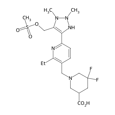 CCc1nc(C2=C(COS(C)(=O)=O)N(C)N(C)N2)ccc1CN1CC(C(=O)O)CC(F)(F)C1